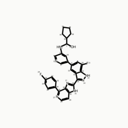 OC(Nc1cncc(-c2cc(F)c3[nH]nc(-c4nc5c(-c6ccc(F)cc6)nccc5[nH]4)c3c2)c1)C1CCCC1